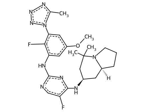 COc1cc(Nc2ncc(F)c(N[C@@H]3C[C@@H]4CCCN4C(C)(C)C3)n2)c(F)c(-n2nnnc2C)c1